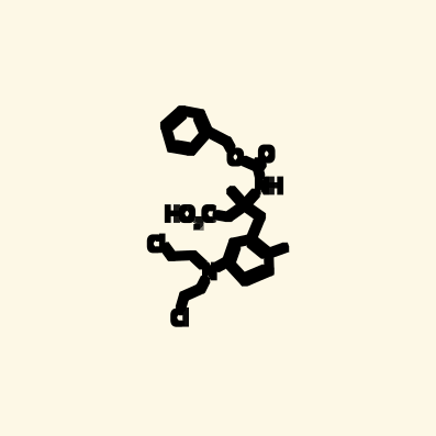 Cc1ccc(N(CCCl)CCCl)cc1CC(C)(CC(=O)O)NC(=O)OCc1ccccc1